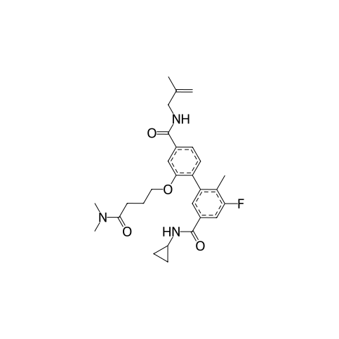 C=C(C)CNC(=O)c1ccc(-c2cc(C(=O)NC3CC3)cc(F)c2C)c(OCCCC(=O)N(C)C)c1